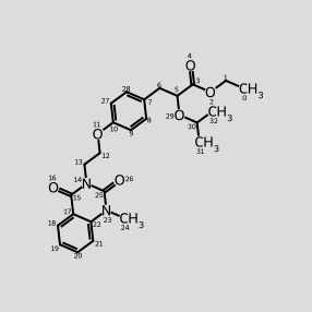 CCOC(=O)C(Cc1ccc(OCCn2c(=O)c3ccccc3n(C)c2=O)cc1)OC(C)C